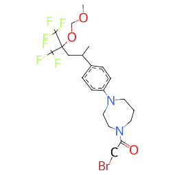 COCOC(CC(C)c1ccc(N2CCCN(C(=O)CBr)CC2)cc1)(C(F)(F)F)C(F)(F)F